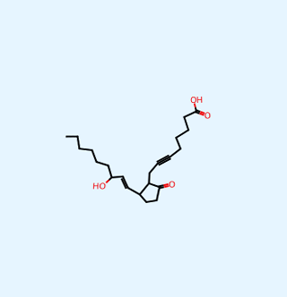 CCCCCCC(O)C=CC1CCC(=O)C1CC#CCCCCC(=O)O